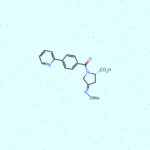 CO/N=C1\C[C@@H](C(=O)O)N(C(=O)c2ccc(-c3ccccn3)cc2)C1